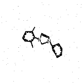 Cc1cccc(C)c1N1C=CN(c2ccccc2)C1